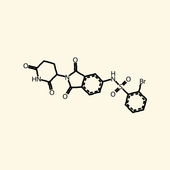 O=C1CCC(N2C(=O)c3ccc(NS(=O)(=O)c4ccccc4Br)cc3C2=O)C(=O)N1